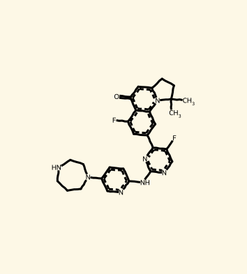 CC1(C)CCc2cc(=O)c3c(F)cc(-c4nc(Nc5ccc(N6CCCNCC6)cn5)ncc4F)cc3n21